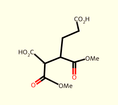 COC(=O)[C](C(=O)O)C(CCC(=O)O)C(=O)OC